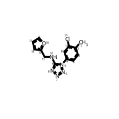 Cc1ccc(-n2nnnc2NCc2ccco2)cc1Cl